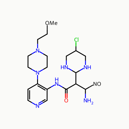 COCCN1CCN(c2ccncc2NC(=O)C(C(N)N=O)C2NCC(Cl)CN2)CC1